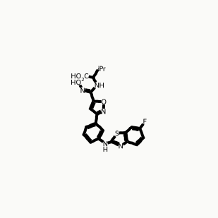 CC(C)C(NC(=NO)c1cc(-c2cccc(Nc3nc4ccc(F)cc4s3)c2)no1)C(=O)O